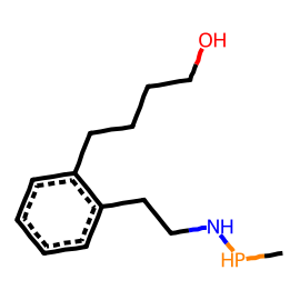 CPNCCc1ccccc1CCCCO